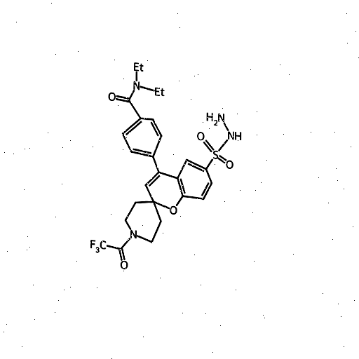 CCN(CC)C(=O)c1ccc(C2=CC3(CCN(C(=O)C(F)(F)F)CC3)Oc3ccc(S(=O)(=O)NN)cc32)cc1